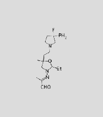 CCC1OC(C)(CCN2CCC(F)(P)C2)CN1/N=C(\C)C=O